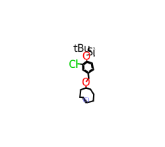 CC(C)(C)[Si](C)(C)Oc1ccc(COC2CC/C=C/CCC2)cc1Cl